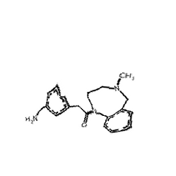 CN1CCN(C(=O)c2cccc(N)c2)c2ccccc2C1